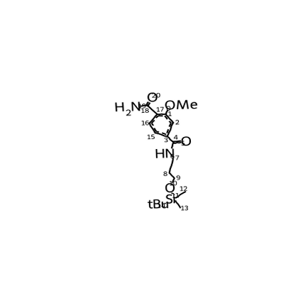 COc1cc(C(=O)NCCCO[Si](C)(C)C(C)(C)C)ccc1C(N)=O